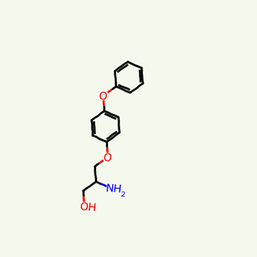 NC(CO)COc1ccc(Oc2ccccc2)cc1